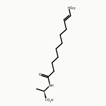 CCCCCCCCC=CCCCCCCCC(=O)N[C@H](C)C(=O)O